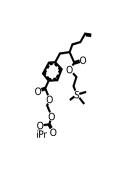 C=CCCC(Cc1ccc(C(=O)OCOC(=O)OC(C)C)cc1)C(=O)OCCS(C)(C)C